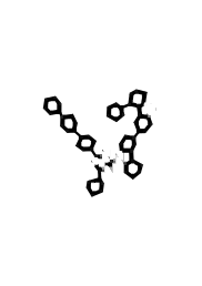 c1ccc(-c2ccc(-c3ccc(-c4nc(-c5ccccc5)nc(-n5c6ccccc6c6cc(-c7ccc8oc9cccc(-c%10ccccc%10)c9c8c7)ccc65)n4)cc3)cc2)cc1